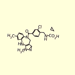 C1CC1.Cc1ccc2c(c1)Nc1c(cnn1C)CN2C(=O)c1ccc(CNC(=O)O)c(Cl)c1